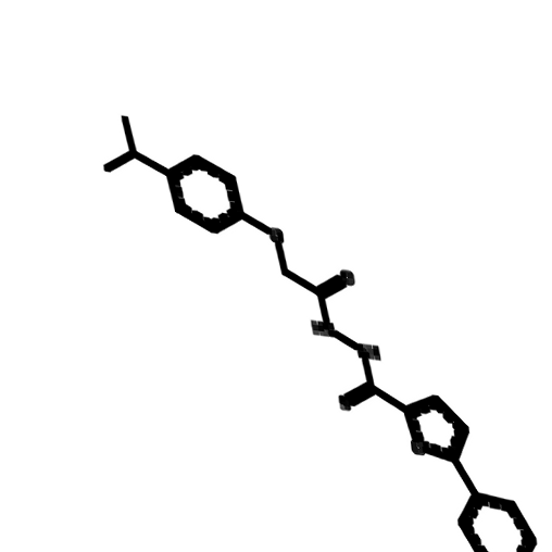 CC(C)c1ccc(OCC(=O)NNC(=S)c2ccc(-c3ccccc3)o2)cc1